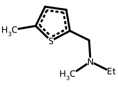 CCN(C)Cc1ccc(C)s1